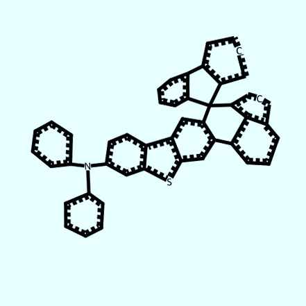 c1ccc(N(c2ccccc2)c2ccc3c(c2)sc2cc4c(cc23)C2(c3ccccc3-c3ccccc32)c2cccc3cccc-4c23)cc1